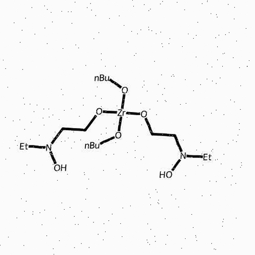 CCCC[O][Zr]([O]CCCC)([O]CCN(O)CC)[O]CCN(O)CC